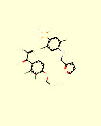 C=C(CC)C(=O)c1ccc(OCC(=O)O)c(Cl)c1Cl.NS(=O)(=O)c1cc(C(=O)O)c(NCc2ccco2)cc1Cl